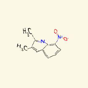 Cc1cc2cccc([N+](=O)[O-])c2nc1C